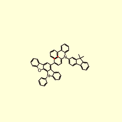 CC1(C)c2ccccc2-c2ccc(N(c3ccc(-c4cc5c6ccccc6oc5c5c4c4ccccc4n5-c4ccccc4)cc3)c3ccccc3-c3ccccc3)cc21